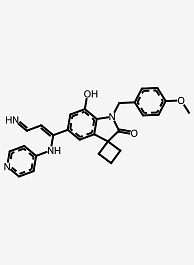 COc1ccc(CN2C(=O)C3(CCC3)c3cc(/C(=C/C=N)Nc4ccncc4)cc(O)c32)cc1